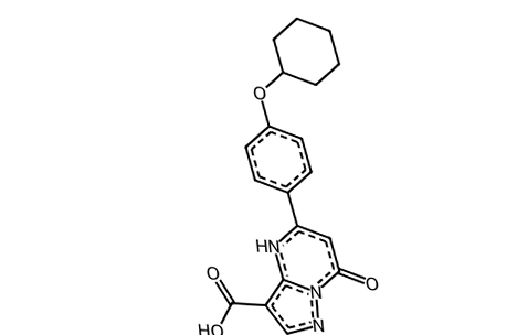 O=C(O)c1cnn2c(=O)cc(-c3ccc(OC4CCCCC4)cc3)[nH]c12